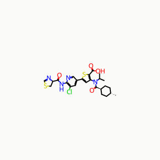 CC(C)N(c1cc(-c2cnc(NC(=O)C3CSC=N3)c(Cl)c2)sc1C(=O)O)C(=O)[C@H]1CC[C@H](C)CC1